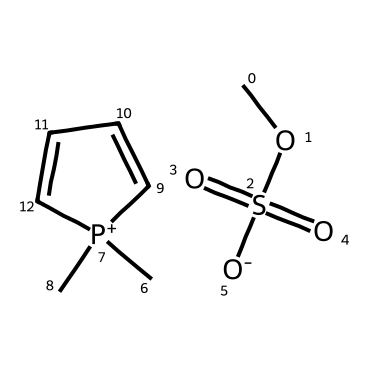 COS(=O)(=O)[O-].C[P+]1(C)C=CC=C1